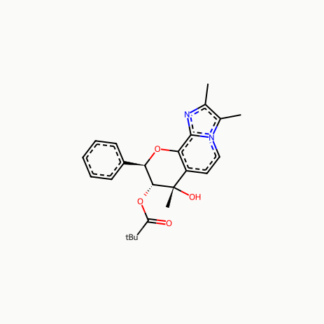 Cc1nc2c3c(ccn2c1C)[C@](C)(O)[C@H](OC(=O)C(C)(C)C)[C@@H](c1ccccc1)O3